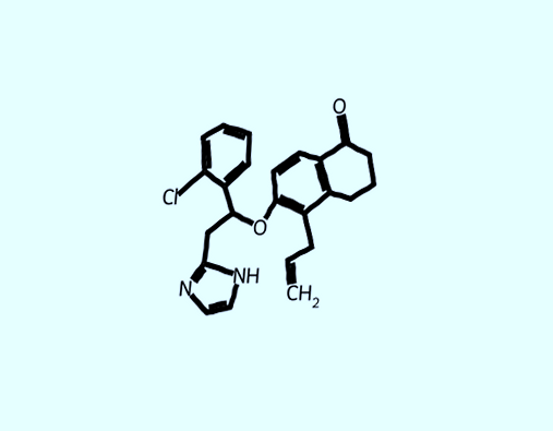 C=CCc1c(OC(Cc2ncc[nH]2)c2ccccc2Cl)ccc2c1CCCC2=O